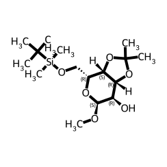 CO[C@H]1O[C@H](CO[Si](C)(C)C(C)(C)C)[C@@H]2OC(C)(C)O[C@@H]2[C@H]1O